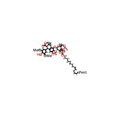 CCCCC/C=C\C/C=C\CCCCCCCCOC(=O)O[C@@H]1C[C@H](Oc2c3c(cc4c2OCO4)C(c2cc(OC)c(O)c(OC)c2)C2C(=O)OC[C@@H]2C3)O[C@@H]2CO[C@@H](C)O[C@@H]12